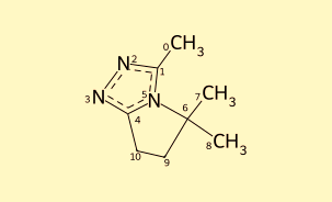 Cc1nnc2n1C(C)(C)CC2